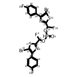 O=[PH](OC(F)c1nc(-c2ccc(F)cc2)c(Br)s1)OC(F)c1nc(-c2ccc(F)cc2)c(Br)s1